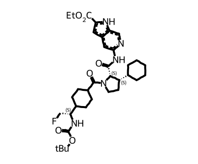 CCOC(=O)c1cc2cc(NC(=O)[C@@H]3[C@H](C4CCCCC4)CCN3C(=O)C3CCC([C@@H](CF)NC(=O)OC(C)(C)C)CC3)ncc2[nH]1